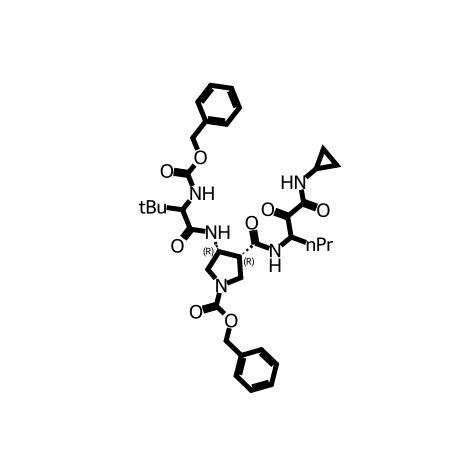 CCCC(NC(=O)[C@@H]1CN(C(=O)OCc2ccccc2)C[C@@H]1NC(=O)C(NC(=O)OCc1ccccc1)C(C)(C)C)C(=O)C(=O)NC1CC1